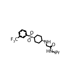 CC(C)NC(=O)CN[C@H]1CC[C@@H](S(=O)(=O)c2cccc(C(F)(F)F)c2)CC1